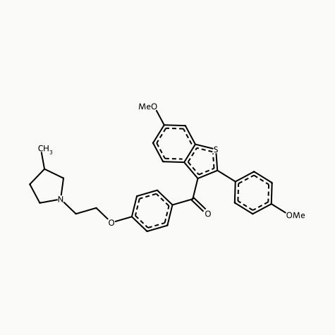 COc1ccc(-c2sc3cc(OC)ccc3c2C(=O)c2ccc(OCCN3CCC(C)C3)cc2)cc1